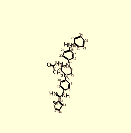 CC(N)=O.N=C(Nc1ccc(N2CCN(c3ccc(Nc4ccccc4)cc3)CC2)cc1)c1cccs1